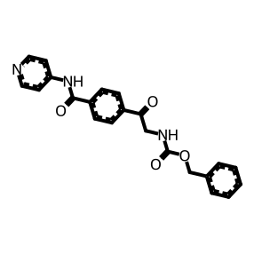 O=C(NCC(=O)c1ccc(C(=O)Nc2ccncc2)cc1)OCc1ccccc1